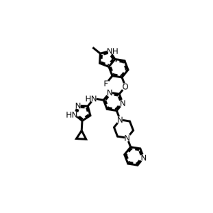 Cc1cc2c(F)c(Oc3nc(Nc4cc(C5CC5)[nH]n4)cc(N4CCN(c5cccnc5)CC4)n3)ccc2[nH]1